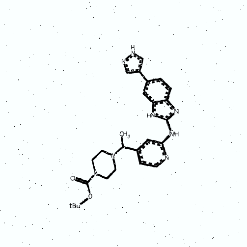 CC(c1ccnc(Nc2nc3ccc(-c4cn[nH]c4)cc3[nH]2)c1)N1CCN(C(=O)OC(C)(C)C)CC1